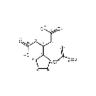 CC(C)(C)C(=O)Cl.O=C(Cl)CC(CC(=O)Cl)C1CCCC1